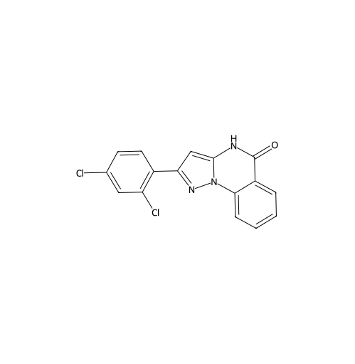 O=c1[nH]c2cc(-c3ccc(Cl)cc3Cl)nn2c2ccccc12